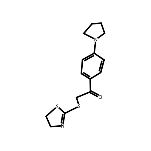 O=C(CSC1=NCCS1)c1ccc(N2CCCC2)cc1